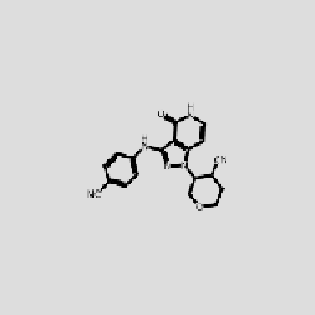 N#Cc1ccc(Nc2nn(C3COCCC3C#N)c3cc[nH]c(=O)c23)cc1